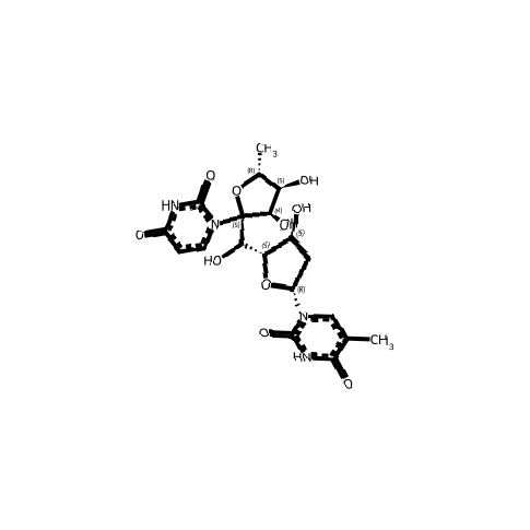 Cc1cn([C@H]2C[C@H](O)[C@@H](C(O)[C@@]3(n4ccc(=O)[nH]c4=O)O[C@H](C)[C@@H](O)[C@H]3O)O2)c(=O)[nH]c1=O